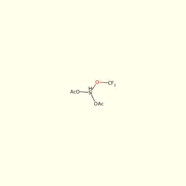 CC(=O)O[SiH](OC(C)=O)OC(F)(F)F